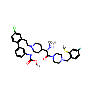 CCSc1cc(F)ccc1CN1CCN(C(=O)[C@H](NC(=O)O)C2CCN(CCc3cc(Cl)ccc3-c3cccc(NC(=O)OC(C)(C)C)c3)CC2)CC1